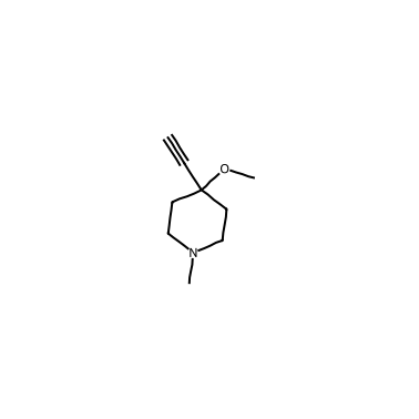 C#CC1(OC)CCN(C)CC1